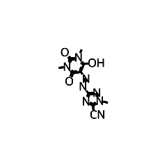 Cn1nc(N=Nc2c(O)n(C)c(=O)n(C)c2=O)nc1C#N